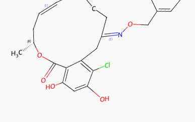 C[C@@H]1C/C=C/CCCC/C(=N\OCc2ccccc2)Cc2c(Cl)c(O)cc(O)c2C(=O)O1